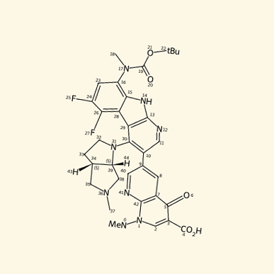 CNn1cc(C(=O)O)c(=O)c2cc(-c3cnc4[nH]c5c(N(C)C(=O)OC(C)(C)C)cc(F)c(F)c5c4c3N3CC[C@H]4CN(C)C[C@H]43)cnc21